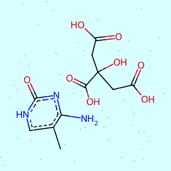 Cc1c[nH]c(=O)nc1N.O=C(O)CC(O)(CC(=O)O)C(=O)O